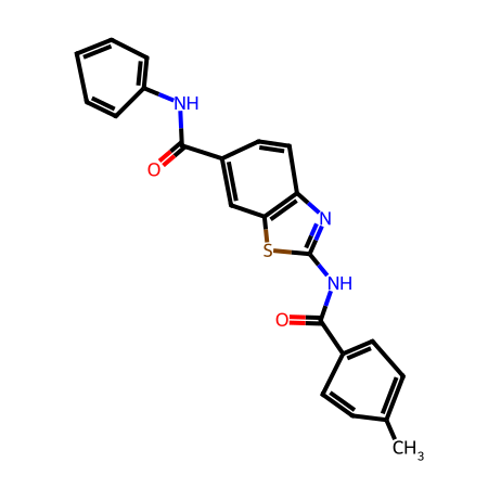 Cc1ccc(C(=O)Nc2nc3ccc(C(=O)Nc4ccccc4)cc3s2)cc1